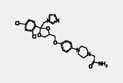 NC(=O)CN1CCN(c2ccc(OCC3COC(Cn4ccnc4)(c4ccc(Cl)cc4Cl)O3)cc2)CC1